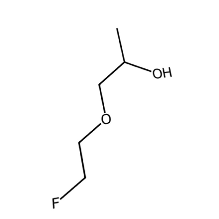 CC(O)COCCF